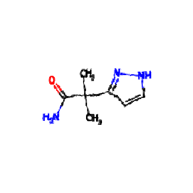 CC(C)(C(N)=O)c1cc[nH]n1